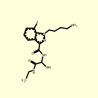 CC(C)(C)C(NC(=O)c1nn(CCCCN)c2c(F)cccc12)C(=O)NCC(F)(F)F